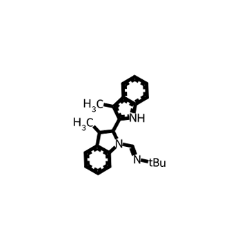 Cc1c(C2C(C)c3ccccc3N2C=NC(C)(C)C)[nH]c2ccccc12